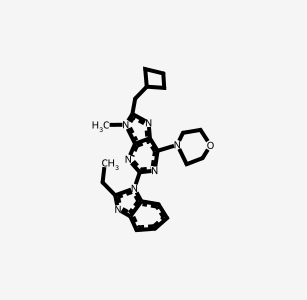 CCc1nc2ccccc2n1-c1nc(N2CCOCC2)c2nc(CC3CCC3)n(C)c2n1